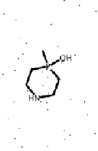 C[P]1(O)CCNCC1